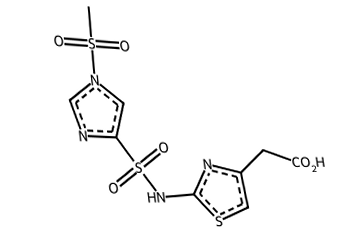 CS(=O)(=O)n1cnc(S(=O)(=O)Nc2nc(CC(=O)O)cs2)c1